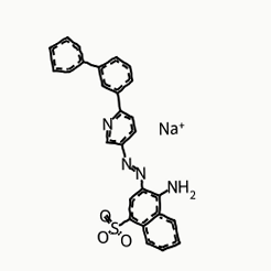 Nc1c(N=Nc2ccc(-c3cccc(-c4ccccc4)c3)nc2)cc(S(=O)(=O)[O-])c2ccccc12.[Na+]